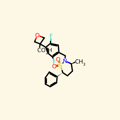 C[C@H]1CC[C@H](c2ccccc2)S(=O)(=O)N1Cc1cc(F)c(C2(C(=O)O)COC2)cc1F